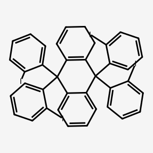 Ic1ccccc1C1(c2ccccc2I)C2=C(CCC=C2)C(c2ccccc2I)(c2ccccc2I)c2ccccc21